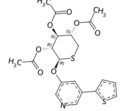 CC(=O)O[C@@H]1[C@@H](OC(C)=O)[C@H](OC(C)=O)CS[C@H]1Oc1cncc(-c2cccs2)c1